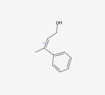 C/C(=C/CO)c1ccccc1